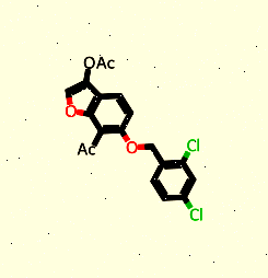 CC(=O)Oc1coc2c(C(C)=O)c(OCc3ccc(Cl)cc3Cl)ccc12